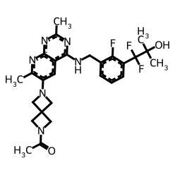 CC(=O)N1CC2(C1)CN(c1cc3c(NCc4cccc(C(F)(F)C(C)(C)O)c4F)nc(C)nc3nc1C)C2